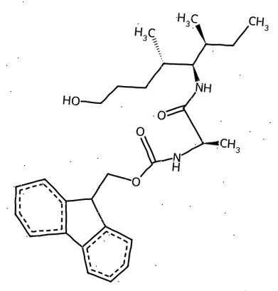 CC[C@H](C)[C@@H](NC(=O)[C@@H](C)NC(=O)OCC1c2ccccc2-c2ccccc21)[C@@H](C)CCCO